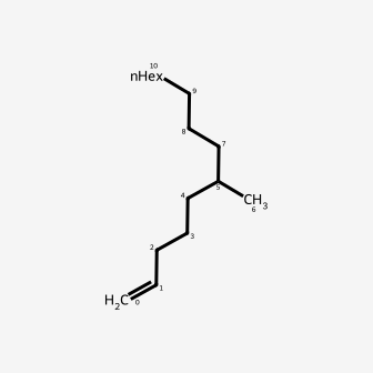 C=CCCCC(C)CCCCCCCCC